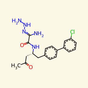 CC(=O)C[C@@H](Cc1ccc(-c2cccc(Cl)c2)cc1)NC(=O)/C(N)=N/NN